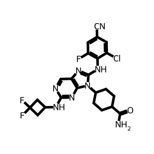 N#Cc1cc(F)c(Nc2nc3cnc(NC4CC(F)(F)C4)nc3n2C2CCC(C(N)=O)CC2)c(Cl)c1